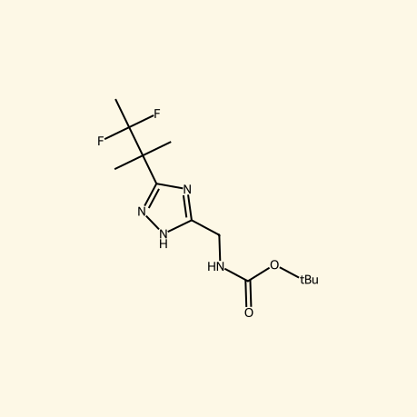 CC(C)(C)OC(=O)NCc1nc(C(C)(C)C(C)(F)F)n[nH]1